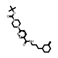 C=C1CCCC(CCCNC(=O)c2ccc(N3CCN(C(=O)OC(C)(C)C)CC3)nn2)C1